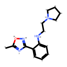 Cc1nc(-c2ccccc2NCCN2CCCC2)no1